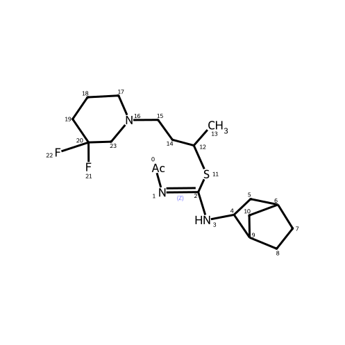 CC(=O)/N=C(/NC1CC2CCC1C2)SC(C)CCN1CCCC(F)(F)C1